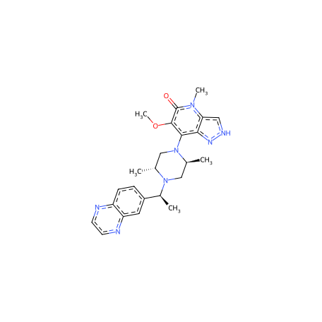 COc1c(N2C[C@@H](C)N([C@@H](C)c3ccc4nccnc4c3)C[C@@H]2C)c2n[nH]cc2n(C)c1=O